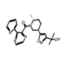 C[C@@H]1CC[C@@H](c2cc(C(C)(C)O)no2)CN1C(=O)c1nccnc1-c1ccccn1